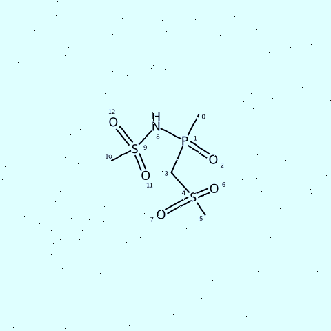 CP(=O)(CS(C)(=O)=O)NS(C)(=O)=O